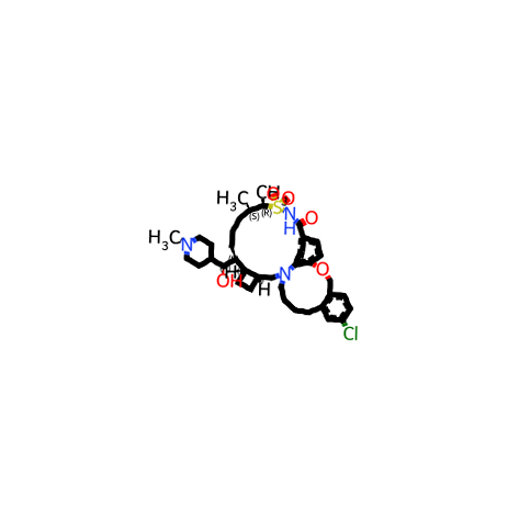 C[C@@H]1[C@@H](C)CCC[C@H]([C@H](O)C2CCN(C)CC2)[C@@H]2CC[C@H]2CN2CCCCc3cc(Cl)ccc3COc3ccc(cc32)C(=O)NS1(=O)=O